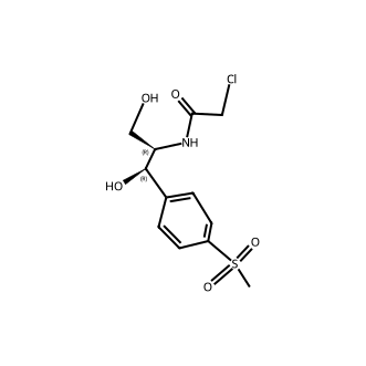 CS(=O)(=O)c1ccc([C@@H](O)[C@@H](CO)NC(=O)CCl)cc1